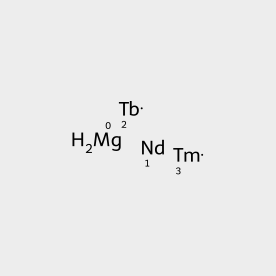 [MgH2].[Nd].[Tb].[Tm]